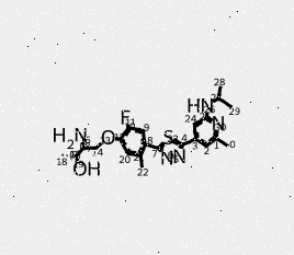 Cc1cc(-c2nnc(-c3cc(F)c(OC[C@H](N)[C@@H](C)O)cc3C)s2)cc(NC(C)C)n1